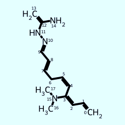 C=C/C=C(\C=C/C/C=C/C=N/NC(=C)N)N(C)C